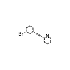 Brc1cccc(C#Cc2ccccn2)c1